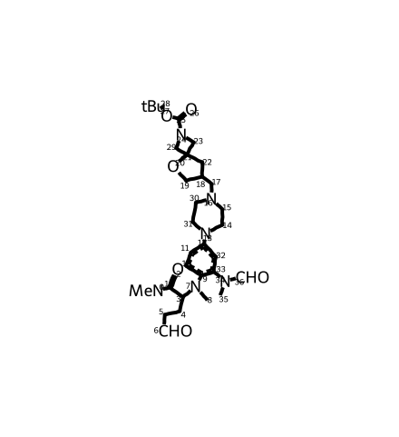 CNC(=O)C(CCC=O)N(C)c1ccc(N2CCN(CC3COC4(C3)CN(C(=O)OC(C)(C)C)C4)CC2)cc1N(C)C=O